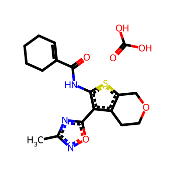 Cc1noc(-c2c(NC(=O)C3=CCCCC3)sc3c2CCOC3)n1.O=C(O)O